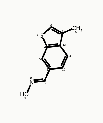 Cc1csc2cc(C=NO)ccc12